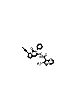 CC#Cc1ccc2cc([C@H](C)NC(=O)c3c(N)nn4cccnc34)n(-c3ccccc3)c(=O)n12